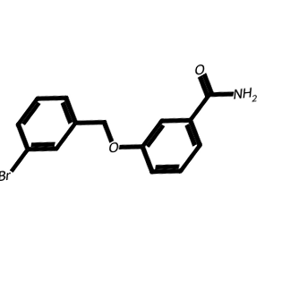 NC(=O)c1cccc(OCc2cccc(Br)c2)c1